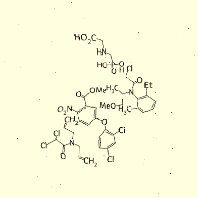 C=CCN(CC=C)C(=O)C(Cl)Cl.CCc1cccc(C)c1N(C(=O)CCl)C(C)COC.COC(=O)c1cc(Oc2ccc(Cl)cc2Cl)ccc1[N+](=O)[O-].O=C(O)CNCP(=O)(O)O